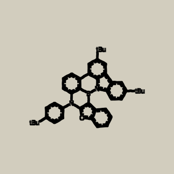 CC(C)(C)c1ccc(N2c3cccc4c3B(c3c2oc2ccccc32)n2c3ccc(C(C)(C)C)cc3c3cc(C(C)(C)C)cc-4c32)cc1